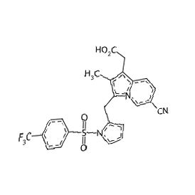 Cc1c(CC(=O)O)c2ccc(C#N)cn2c1Cc1cccn1S(=O)(=O)c1ccc(C(F)(F)F)cc1